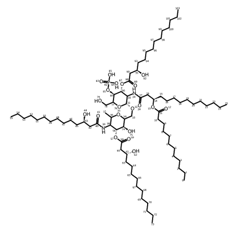 CCCCCCCCCCCC(=O)O[C@H](CCCCCCCCCCC)CC(=O)NC1[C@H](OCC2OC(C)C(NC(=O)C[C@H](O)CCCCCCCCCCC)[C@@H](OC(=O)C[C@H](O)CCCCCCCCCCC)[C@@H]2O)OC(CO)[C@@H](OP(=O)(O)O)[C@@H]1OC(=O)C[C@H](O)CCCCCCCCCCC